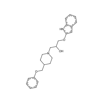 OC(COc1cc2ccccc2[nH]1)CN1CCC(COc2ccccc2)CC1